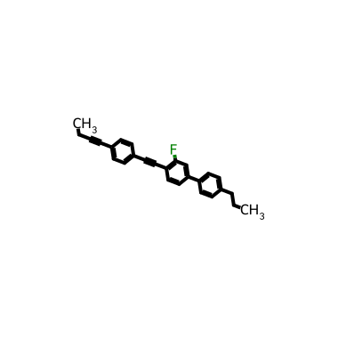 CCC#Cc1ccc(C#Cc2ccc(-c3ccc(CCC)cc3)cc2F)cc1